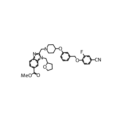 COC(=O)c1ccc2nc(CN3CCC(Oc4cccc(COc5ccc(C#N)cc5F)c4)CC3)n(CC3CCCO3)c2c1